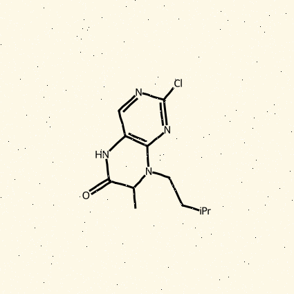 CC(C)CCN1c2nc(Cl)ncc2NC(=O)C1C